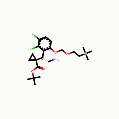 CC(C)(C)OC(=O)C1([C@@H](CN)c2c(OCOCC[Si](C)(C)C)ccc(Cl)c2Cl)CC1